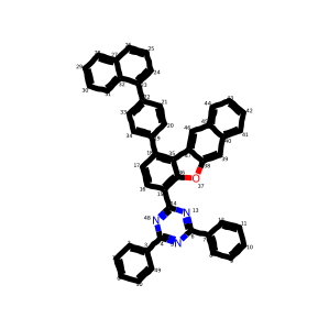 c1ccc(-c2nc(-c3ccccc3)nc(-c3ccc(-c4ccc(-c5cccc6ccccc56)cc4)c4c3oc3cc5ccccc5cc34)n2)cc1